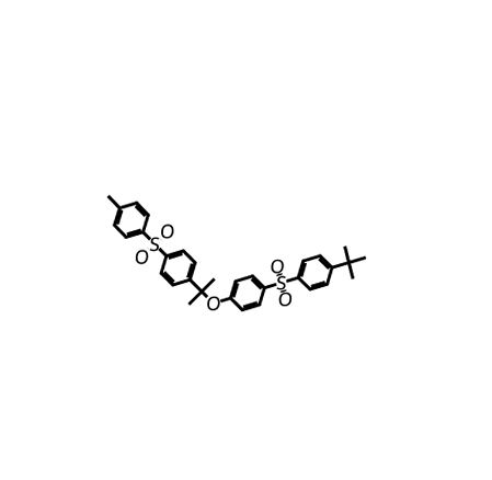 Cc1ccc(S(=O)(=O)c2ccc(C(C)(C)Oc3ccc(S(=O)(=O)c4ccc(C(C)(C)C)cc4)cc3)cc2)cc1